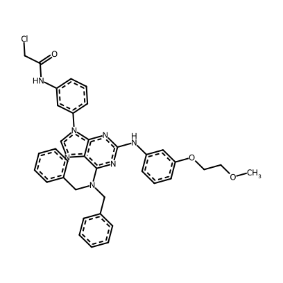 COCCOc1cccc(Nc2nc(N(Cc3ccccc3)Cc3ccccc3)c3ncn(-c4cccc(NC(=O)CCl)c4)c3n2)c1